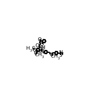 COc1cc(NC(=O)c2cc(=O)c3ccccc3o2)c(C(=O)Nc2ccc(CCN(C)Cc3ccc(-c4nccs4)cc3)cc2)cc1OC